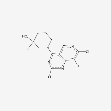 CC1(O)CCCN(c2nc(Cl)nc3c(F)c(Cl)ncc23)C1